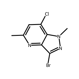 Cc1cc(Cl)c2c(n1)c(Br)nn2C